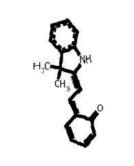 CC1(C)/C(=C\C=C2\C=CC=CC2=O)Nc2ccccc21